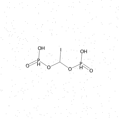 O=[PH](O)OC(I)O[PH](=O)O